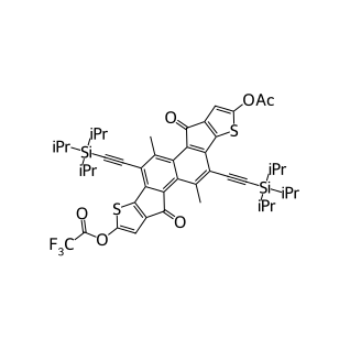 CC(=O)Oc1cc2c(=O)c3c(c(C#C[Si](C(C)C)(C(C)C)C(C)C)c(C)c4c3c(C)c(C#C[Si](C(C)C)(C(C)C)C(C)C)c3c5sc(OC(=O)C(F)(F)F)cc5c(=O)c34)c2s1